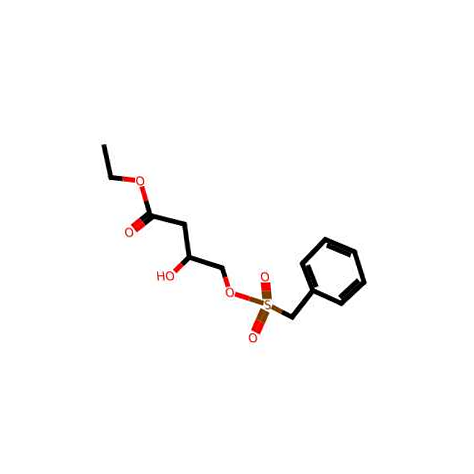 CCOC(=O)CC(O)COS(=O)(=O)Cc1ccccc1